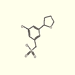 O=S(=O)(Cl)Cc1cc(Cl)cc(C2CCCO2)c1